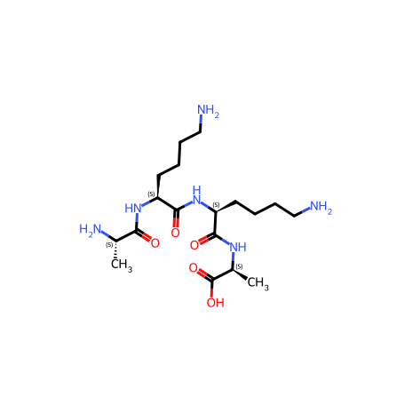 C[C@H](N)C(=O)N[C@@H](CCCCN)C(=O)N[C@@H](CCCCN)C(=O)N[C@@H](C)C(=O)O